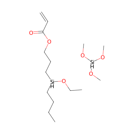 C=CC(=O)OCCC[SiH](CCCC)OCC.CO[SiH](OC)OC